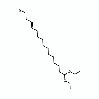 CCOC(CCCCCCCCCC/C=C/CCBr)OCC